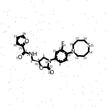 O=C(NC[C@H]1CN(c2ccc(N3CCCSCCC3)c(F)c2)C(=O)O1)c1ccco1